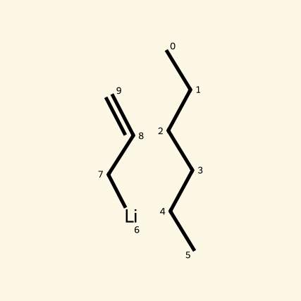 CCCCCC.[Li][CH2]C=C